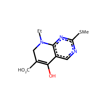 CCN1CC(C(=O)O)=C(O)c2cnc(SC)nc21